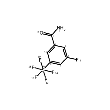 NC(=O)c1cc(F)cc(S(F)(F)(F)(F)F)c1